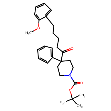 COc1ccccc1CCCCC(=O)C1(c2ccccc2)CCN(C(=O)OC(C)(C)C)CC1